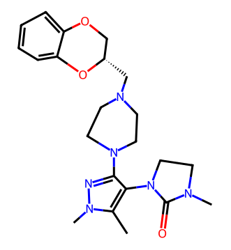 Cc1c(N2CCN(C)C2=O)c(N2CCN(C[C@H]3COc4ccccc4O3)CC2)nn1C